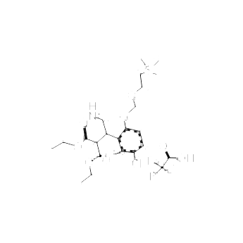 CCOC(=O)C(C(=O)OCC)C(CN)c1c(OCOCC[Si](C)(C)C)ccc(Cl)c1Cl.O=C(O)C(F)(F)F